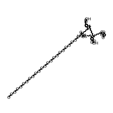 COCCOCCOCCOCCOCCOCCOCCOCCOCCOCCOCCOCCOCCOCCOCCOCCOCCOCCOCCOCCOCCOCCOCCOCCNC(=O)CCCCC[N+]1=C(C=CC=CC=C2N(CCCSOOO)c3ccc(S(=O)(=O)O)cc3C2(C)CCCCCC(=O)ON2C(=O)CCC2=O)C(C)(C)c2cc(SOOO)ccc21